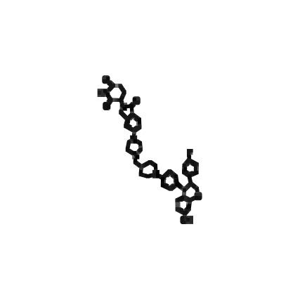 O=C1CCC(N2Cc3cc(N4CCN(CC5CCN(c6ccc([C@@H]7c8ccc(O)cc8OCC7c7ccc(F)cc7)cc6)CC5)CC4)ccc3C2=O)C(=O)N1